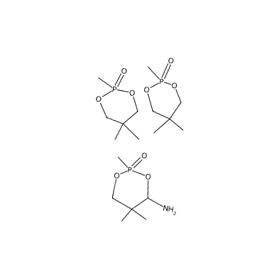 CC1(C)COP(C)(=O)OC1.CC1(C)COP(C)(=O)OC1.CC1(C)COP(C)(=O)OC1N